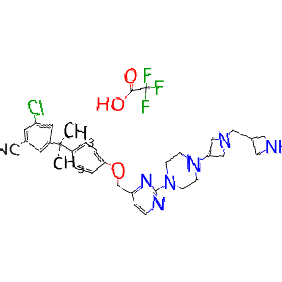 CC(C)(c1ccc(OCc2ccnc(N3CCN(C4CN(CC5CNC5)C4)CC3)n2)cc1)c1cc(Cl)cc(C#N)c1.O=C(O)C(F)(F)F